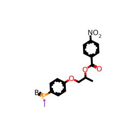 B#P(I)c1ccc(OCC(C)OC(=O)c2ccc([N+](=O)[O-])cc2)cc1